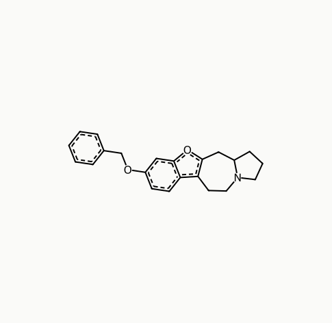 c1ccc(COc2ccc3c4c(oc3c2)CC2CCCN2CC4)cc1